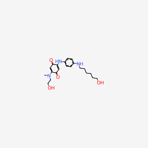 CN(CCO)C1=CC(=O)C(Nc2ccc(NCCCCCCO)cc2)=CC1=O